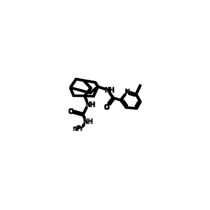 CCCNC(=O)NC12CC3CC(C1)CC(NC(=O)c1cccc(C)n1)(C3)C2